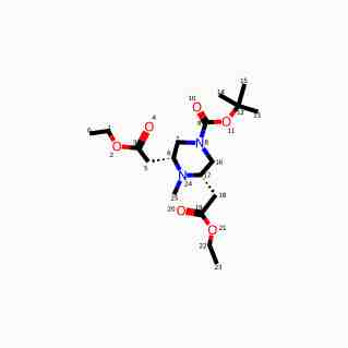 CCOC(=O)C[C@@H]1CN(C(=O)OC(C)(C)C)C[C@H](CC(=O)OCC)N1C